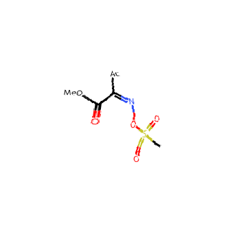 COC(=O)/C(=N\OS(C)(=O)=O)C(C)=O